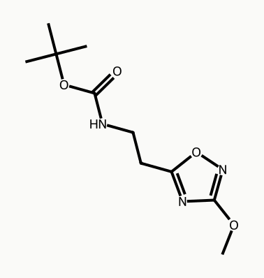 COc1noc(CCNC(=O)OC(C)(C)C)n1